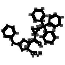 O=C(O)[C@H]1CN(Cc2ccccc2)CN1C(=O)[C@H]1CN1C(c1ccccc1)(c1ccccc1)c1ccccc1